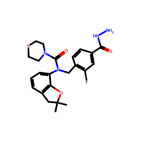 CC1(C)Cc2cccc(N(Cc3ccc(C(=O)NN)cc3F)C(=O)N3CCSCC3)c2O1